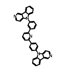 c1cc(-c2cccc(-c3ccc(-n4c5ccccc5c5cnccc54)cc3)n2)cc(-n2c3ccccc3c3cnccc32)c1